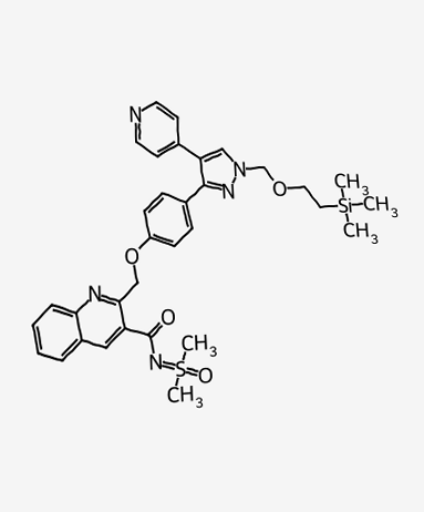 C[Si](C)(C)CCOCn1cc(-c2ccncc2)c(-c2ccc(OCc3nc4ccccc4cc3C(=O)N=S(C)(C)=O)cc2)n1